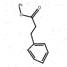 CC(C)OC(=O)[CH]Cc1ccccc1